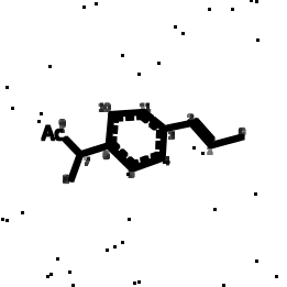 CC=Cc1ccc(C(C)C(C)=O)cc1